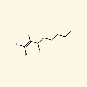 CCCCCC(F)C(F)=C(F)F